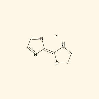 C1=NC(=C2NCCO2)N=C1.[Ir]